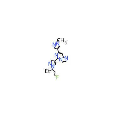 CCC(CCF)n1cc(-c2nc(-c3cnn(C)c3)cc3nccn23)cn1